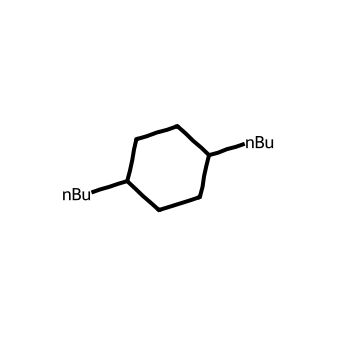 [CH2]CCCC1CCC(CCCC)CC1